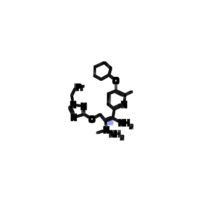 Cc1nc(/C(N)=C(\COc2ncn(CC(C)C)n2)N(C)N)ccc1OC1CCCCC1